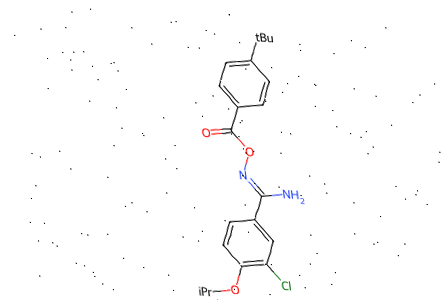 CC(C)Oc1ccc(/C(N)=N/OC(=O)c2ccc(C(C)(C)C)cc2)cc1Cl